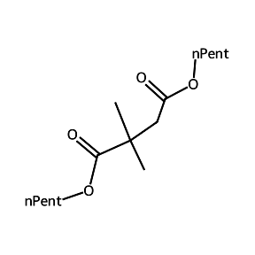 CCCCCOC(=O)CC(C)(C)C(=O)OCCCCC